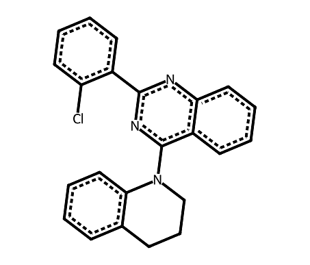 Clc1ccccc1-c1nc(N2CCCc3ccccc32)c2ccccc2n1